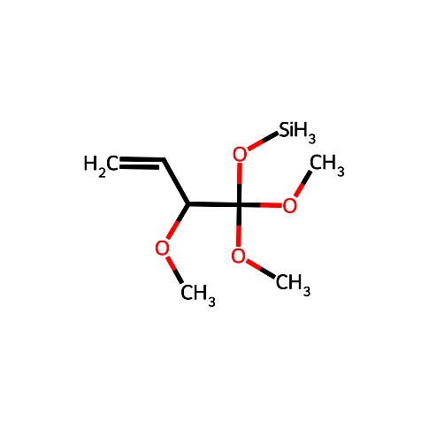 C=CC(OC)C(OC)(OC)O[SiH3]